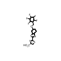 O=C(O)[C@H]1CSC(c2nc3ccc(OCc4c(F)c(F)c(F)c(F)c4F)cc3s2)=N1